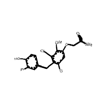 CNC(=O)COc1cc(Cl)c(Cc2ccc(O)c(C(C)C)c2)c(Cl)c1OC